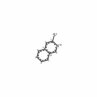 [S]c1cc2ccccc2cn1